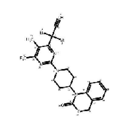 C#CC(CC)(CC)c1nc(N2CCC(N3C(=O)OCc4ccccc43)CC2)nc(C(F)(F)F)c1C